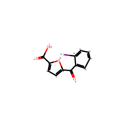 O=C(O)c1ccc(C(=O)c2ccccc2I)o1